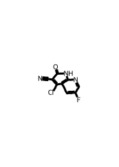 N#Cc1c(Cl)c2cc(F)cnc2[nH]c1=O